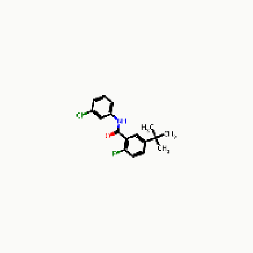 CC(C)(C)c1ccc(F)c(C(=O)Nc2cccc(Cl)c2)c1